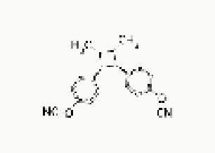 C[C@@H]1[C@H](C)[C@@H](c2ccc(OC#N)cc2)[C@H]1c1ccc(OC#N)cc1